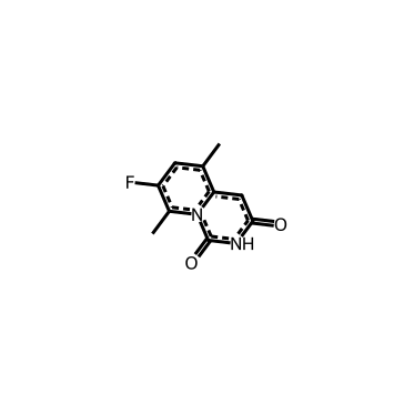 Cc1cc(F)c(C)n2c(=O)[nH]c(=O)cc12